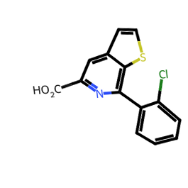 O=C(O)c1cc2ccsc2c(-c2ccccc2Cl)n1